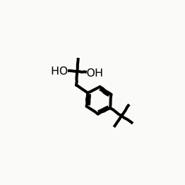 CC(O)(O)Cc1ccc(C(C)(C)C)cc1